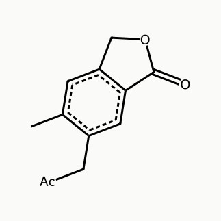 CC(=O)Cc1cc2c(cc1C)COC2=O